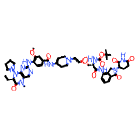 CC[C@@H]1C(=O)N(C)c2cnc(Nc3ccc(C(=O)NC4CCN(CCOC[C@@H](NC(=O)OC(C)(C)C)C(=O)Nc5cccc6c5CN(C5CCC(=O)NC5=O)C6=O)CC4)cc3OC)nc2N1N1CCCC1